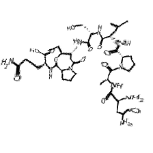 CCC(C)[C@H](NC(=O)[C@H](CO)NC(=O)[C@@H](NC(=O)[C@@H]1CCCN1C(=O)[C@H](C)NC(=O)[C@@H](N)CC(N)=O)C(C)C)C(=O)N1CCC[C@H]1C(=O)N[C@@H](CCC(N)=O)C(=O)O